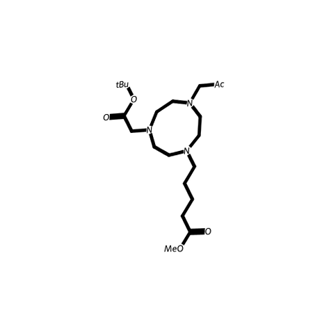 COC(=O)CCCCN1CCN(CC(C)=O)CCN(CC(=O)OC(C)(C)C)CC1